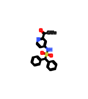 COC(=O)c1cc(NS(=O)(=O)C(c2ccccc2)c2ccccc2)ccn1